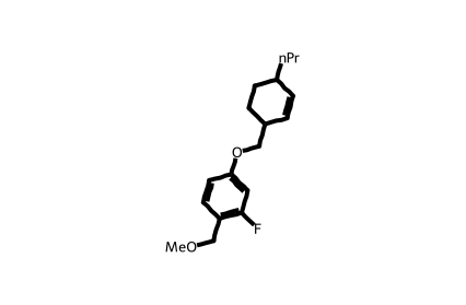 CCCC1C=CC(COc2ccc(COC)c(F)c2)CC1